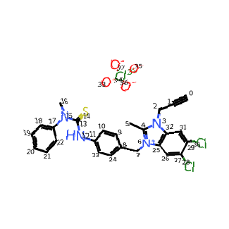 C#CCn1c(C)[n+](Cc2ccc(NC(=S)N(C)c3ccccc3)cc2)c2cc(Cl)c(Cl)cc21.[O-][Cl+3]([O-])([O-])[O-]